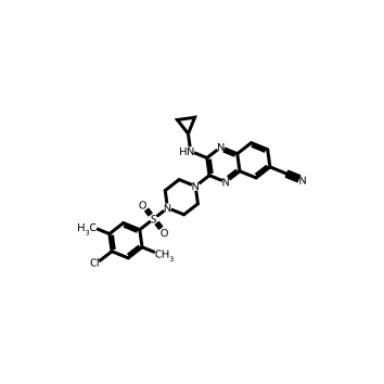 Cc1cc(S(=O)(=O)N2CCN(c3nc4cc(C#N)ccc4nc3NC3CC3)CC2)c(C)cc1Cl